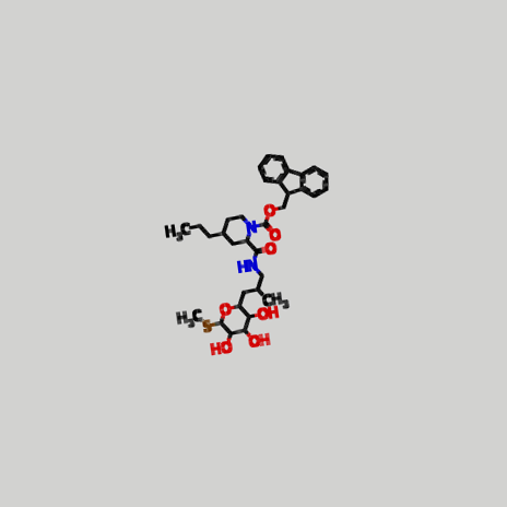 CCCC1CCN(C(=O)OCC2c3ccccc3-c3ccccc32)C(C(=O)NCC(C)CC2OC(SC)C(O)C(O)C2O)C1